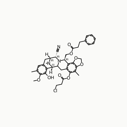 COc1c(C)cc2c(c1O)[C@H]1C3Cc4c(OC(=O)CCCl)c(C)c5c(c4[C@H](COC(=O)CCc4ccccc4)N3[C@@H](C#N)[C@@H](C2)N1C)OCO5